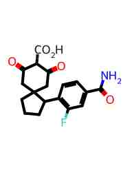 NC(=O)c1ccc(C2CCCC23CC(=O)C(C(=O)O)C(=O)C3)c(F)c1